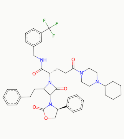 O=C(NCc1cccc(C(F)(F)F)c1)[C@H](CCC(=O)N1CCN(C2CCCCC2)CC1)N1C(=O)C(N2C(=O)OC[C@@H]2c2ccccc2)C1CCc1ccccc1